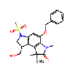 CSC1(C)C(=O)N(C)c2c(OCc3ccccc3)cc3c(c21)C(CO)CN3S(C)(=O)=O